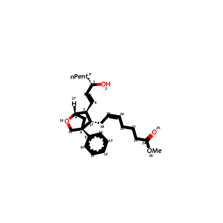 CCCCC[C@H](O)/C=C/[C@@H]1[C@@H]2C[C@@](c3ccccc3)(CO2)[C@H]1C/C=C\CCCC(=O)OC